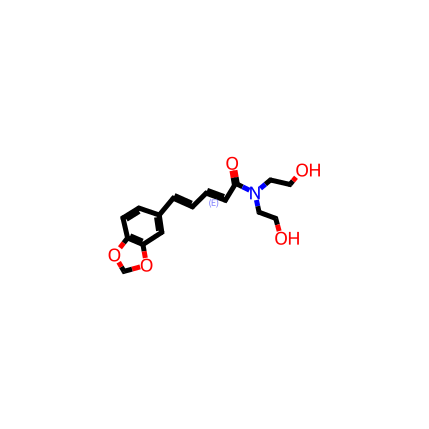 O=C(/C=C/C=Cc1ccc2c(c1)OCO2)N(CCO)CCO